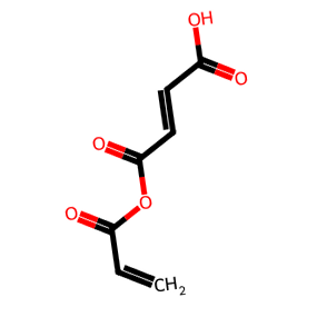 C=CC(=O)OC(=O)C=CC(=O)O